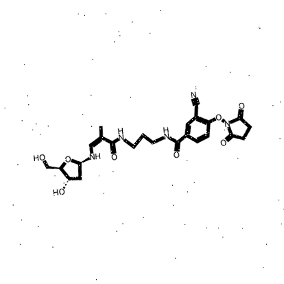 C/C(=C/N[C@H]1C[C@H](O)[C@@H](CO)O1)C(=O)NCCCNC(=O)c1ccc(ON2C(=O)CCC2=O)c(C#N)c1